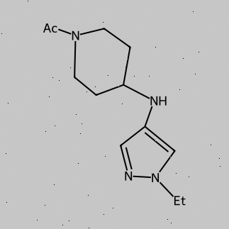 CCn1cc(NC2CCN(C(C)=O)CC2)cn1